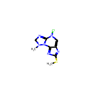 CSC1=NC2=CN(Cl)C3=NCN(C)N3C2=N1